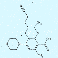 CCSC1C(C(=O)O)=C(C)C=C(N2CCOCC2)N1CCCCC#N